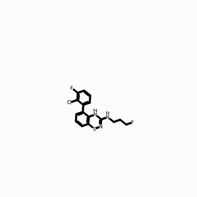 FCCCNC1=NSc2cccc(-c3cccc(F)c3Cl)c2N1